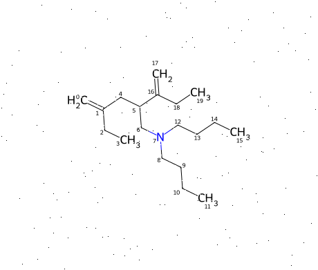 C=C(CC)CC(CN(CCCC)CCCC)C(=C)CC